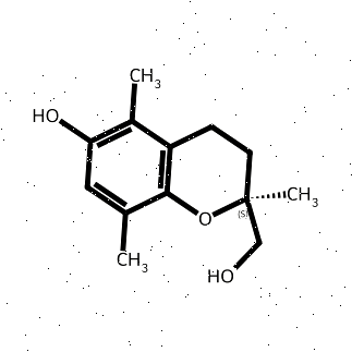 Cc1cc(O)c(C)c2c1O[C@](C)(CO)CC2